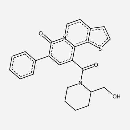 O=C(c1cc(-c2ccccc2)c(=O)n2ccc3ccsc3c12)N1CCCCC1CO